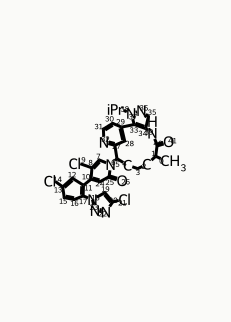 CC1CCCC(n2cc(Cl)c(-c3cc(Cl)ccc3-n3cc(Cl)nn3)cc2=O)c2cc(ccn2)-c2c(cnn2C(C)C)NC1=O